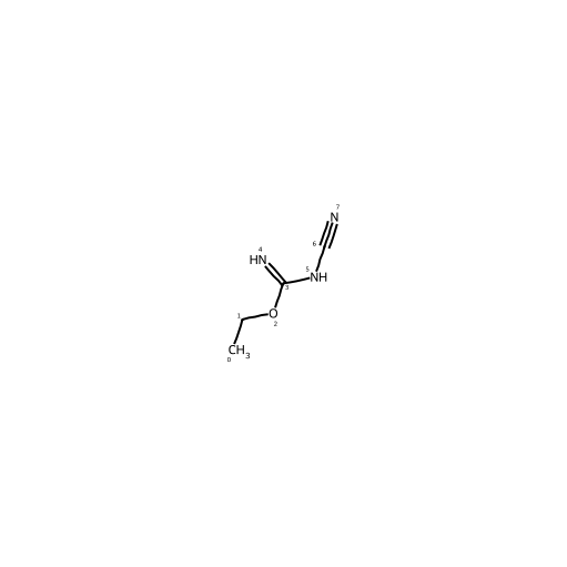 CCOC(=N)NC#N